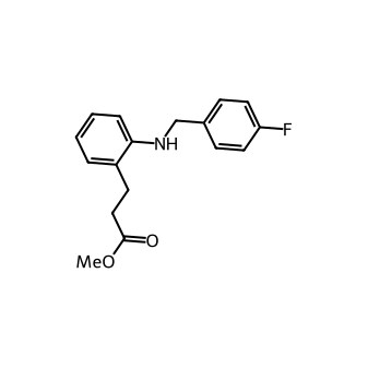 COC(=O)CCc1ccccc1NCc1ccc(F)cc1